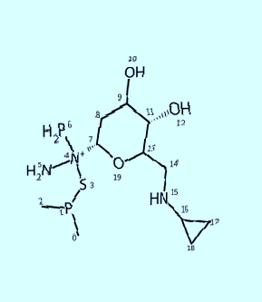 CP(C)S[N+](N)(P)[C@@H]1CC(O)[C@H](O)C(CNC2CC2)O1